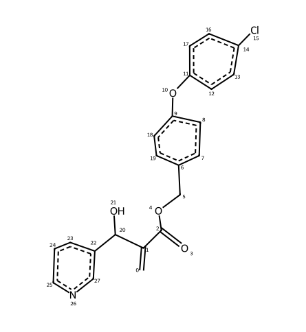 C=C(C(=O)OCc1ccc(Oc2ccc(Cl)cc2)cc1)C(O)c1cccnc1